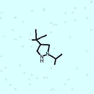 CC(C)N1CC(C(C)(C)C)CN1